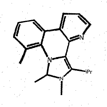 Cc1cccc2c1N1C(=C(C(C)C)N(C)C1C)c1ncccc1-2